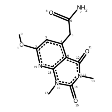 COc1cc(CC(N)=O)c2c(=O)n(C)c(=O)n(C)c2n1